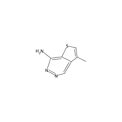 Cc1csc2c(N)nncc12